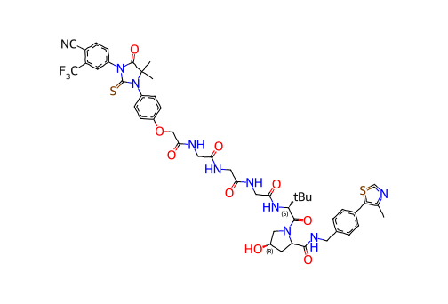 Cc1ncsc1-c1ccc(CNC(=O)C2C[C@@H](O)CN2C(=O)[C@@H](NC(=O)CNC(=O)CNC(=O)CNC(=O)COc2ccc(N3C(=S)N(c4ccc(C#N)c(C(F)(F)F)c4)C(=O)C3(C)C)cc2)C(C)(C)C)cc1